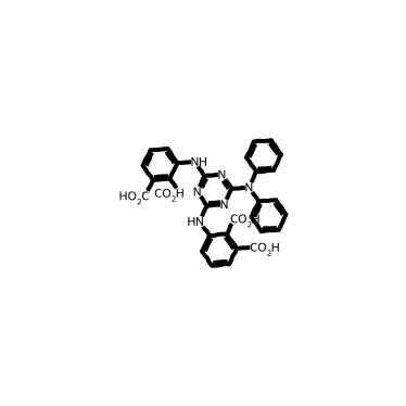 O=C(O)c1cccc(Nc2nc(Nc3cccc(C(=O)O)c3C(=O)O)nc(N(c3ccccc3)c3ccccc3)n2)c1C(=O)O